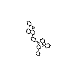 CCc1ccc(-c2cccc(N(c3ccc(-c4ccccc4)cc3)c3cccc4c3oc3ccccc34)c2)c2cccc(-c3ccccc3)c12